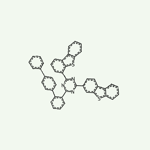 c1ccc(-c2ccc(-c3ccccc3-c3nc(-c4ccc5c(c4)sc4ccccc45)nc(-c4cccc5c4sc4ccccc45)n3)cc2)cc1